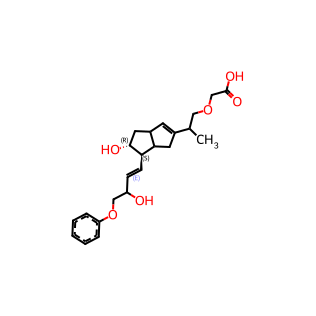 CC(COCC(=O)O)C1=CC2C[C@@H](O)[C@H](/C=C/C(O)COc3ccccc3)C2C1